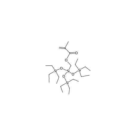 C=C(C)C(=O)OC[Si](O[Si](CC)(CC)CC)(O[Si](CC)(CC)CC)O[Si](CC)(CC)CC